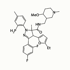 CCc1ccc(C2C(c3ccc(F)cc3F)=NN(c3ccc(C)cc3P)C2(C)C(=O)NCC2CN(C)CCC2OC)o1